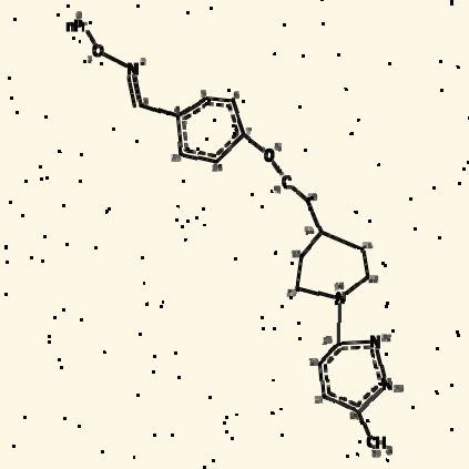 CCCON=Cc1ccc(OCCC2CCN(c3ccc(C)nn3)CC2)cc1